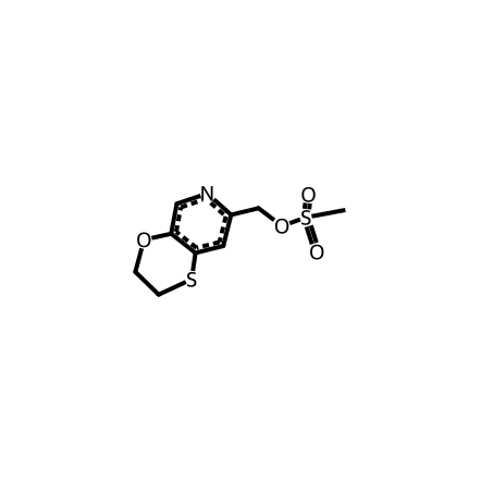 CS(=O)(=O)OCc1cc2c(cn1)OCCS2